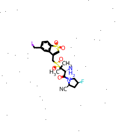 CC(C)([C@H](N)C(=O)N1C[C@@H](F)C[C@H]1C#N)S(=O)(=O)CC1=CS(=O)(=O)c2ccc(CI)cc21